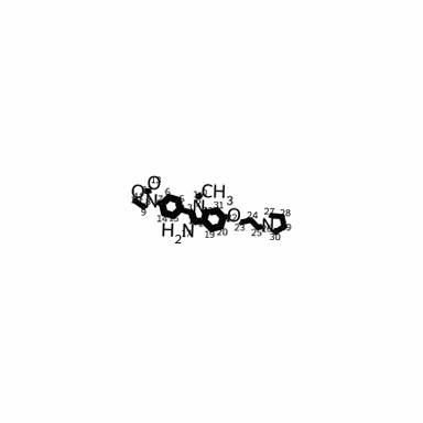 CCn1c(-c2ccc(N3CCOC3=O)cc2)c(N)c2ccc(OCCCN3CCCC3)cc21